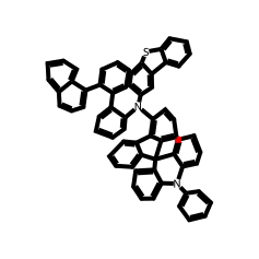 c1ccc(N2c3ccccc3C3(c4ccccc4-c4c(N(c5ccc6sc7ccccc7c6c5)c5ccccc5-c5ccccc5-c5cccc6ccccc56)cccc43)c3ccccc32)cc1